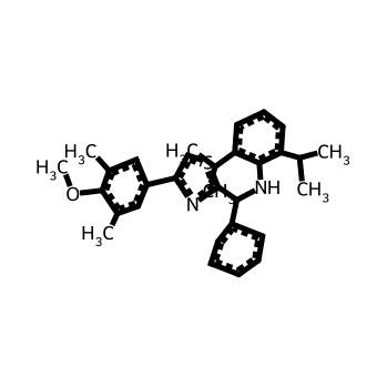 COc1c(C)cc(-c2csc(C(Nc3c(C(C)C)cccc3C(C)C)c3ccccc3)n2)cc1C